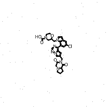 O=C(O)N1CCOC(Cn2ccc3cc(Cl)cc(-c4ncnn5cc(CN6C(=O)CN7CCCC7C6=O)cc45)c32)C1